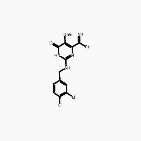 CCC(=N)c1nc(NCc2ccc(Cl)c(Cl)c2)[nH]c(=O)c1NC